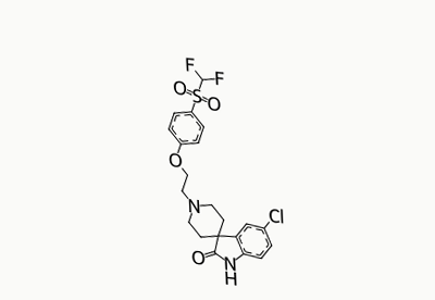 O=C1Nc2ccc(Cl)cc2C12CCN(CCOc1ccc(S(=O)(=O)C(F)F)cc1)CC2